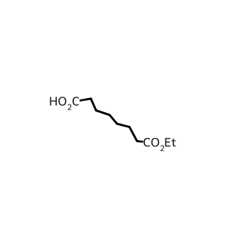 CCOC(=O)CCCCCCC(=O)O